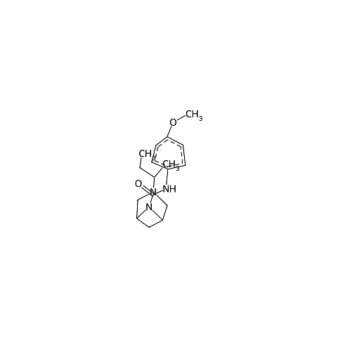 CCC(C)N1CC2CC(C1)N2C(=O)Nc1ccc(OC)cc1